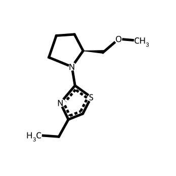 CCc1csc(N2CCC[C@H]2COC)n1